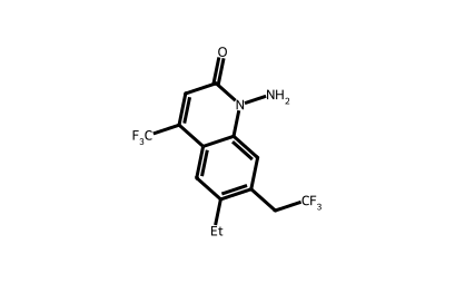 CCc1cc2c(C(F)(F)F)cc(=O)n(N)c2cc1CC(F)(F)F